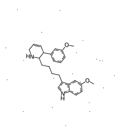 COc1cccc(C2C=CCNC2CCCCc2c[nH]c3ccc(OC)cc23)c1